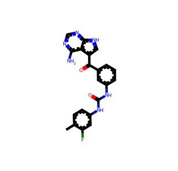 Cc1ccc(NC(=O)Nc2cccc(C(=O)c3c[nH]c4ncnc(N)c34)c2)cc1F